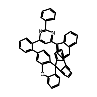 c1ccc(-c2nc(-c3ccccc3-c3ccc4c(c3)Oc3ccccc3C43c4ccccc4-c4ccccc43)cc(-c3cccc4ccccc34)n2)cc1